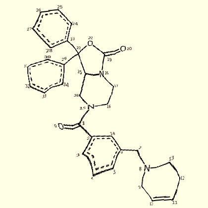 O=C(c1cccc(CN2CC=CCC2)c1)N1CCN2C(=O)OC(c3ccccc3)(c3ccccc3)C2C1